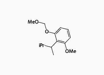 COCOc1cccc(OC)c1C(C)C(C)C